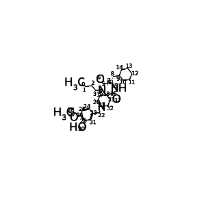 CCCCN1C(=O)[C@H](CC2CCCCC2)NC(=O)C12CCN(Cc1ccc(OC)c(O)c1)CC2